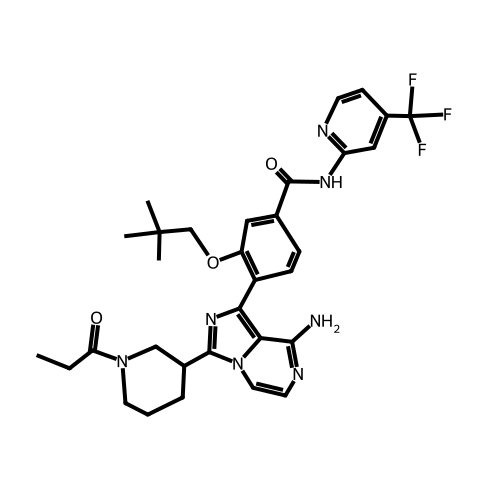 CCC(=O)N1CCCC(c2nc(-c3ccc(C(=O)Nc4cc(C(F)(F)F)ccn4)cc3OCC(C)(C)C)c3c(N)nccn23)C1